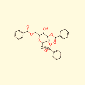 COC1OC(COC(=O)c2ccccc2)C(O)C(OC(=O)C2=CC=CCC2)[C@@H]1OC(=O)c1ccccc1